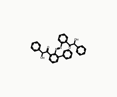 O=C(c1ccccc1N=Nc1c(C(=O)C(O)c2ccccc2)cccc1-c1ccccc1)C(O)c1ccccc1